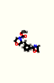 CC(C)(C)OC(=O)N1CCOC[C@H]1Cc1cccc(-c2ncco2)c1